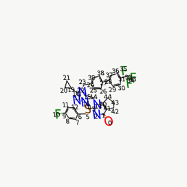 O=c1nc(SCc2ccc(F)cc2)n(Cc2nnc(C3CC3)n2Cc2ccc(-c3ccc(C(F)(F)F)cc3)cc2)c2c1CCC2